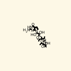 CCC(CC)(C[C@@H](OC)[C@@H](O)[C@@H](O)n1ccc2c(=O)[nH]c(N)nc21)OP(=O)(O)C(O)(CC)CC